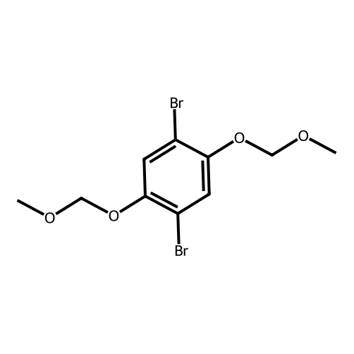 COCOc1cc(Br)c(OCOC)cc1Br